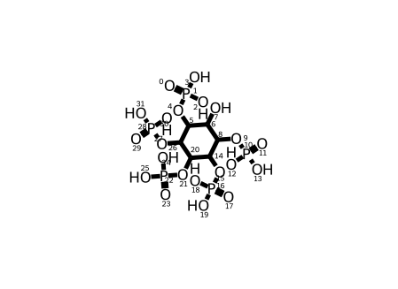 O=P(O)(O)OC1C(O)C(OP(=O)(O)O)C(OP(=O)(O)O)C(OP(=O)(O)O)C1OP(=O)(O)O